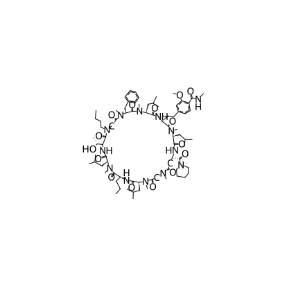 CCCCN1CC(=O)N(C)[C@@H](Cc2ccccc2)C(=O)N(C)[C@@H](CC(C)C)C(=O)N[C@@H](CCc2ccc(C(=O)NC)c(OC)c2)C(=O)N(C)[C@@H](CC(C)C)C(=O)N[C@H](C(=O)N2CCCCC2)CC(=O)N(C)CC(=O)N(C)[C@@H](CC(C)C)C(=O)N[C@@H]([C@@H](C)CC)C(=O)N(C)[C@@H](CC(C)C)C(=O)N[C@@H]([C@@H](C)O)C1=O